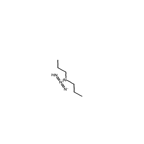 CC[CH2][Al][CH2]CC.[N-]=[N+]=N